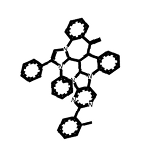 C=C1c2ccccc2N2C=C(c3ccccc3)N(c3ccccc3)C2C2C1c1ccccc1N1c3cnc(-c4ccccc4C)nc3N(C)C21